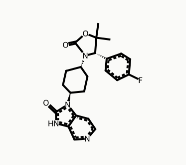 CC1(C)OC(=O)N([C@H]2CC[C@H](n3c(=O)[nH]c4cnccc43)CC2)[C@H]1c1ccc(F)cc1